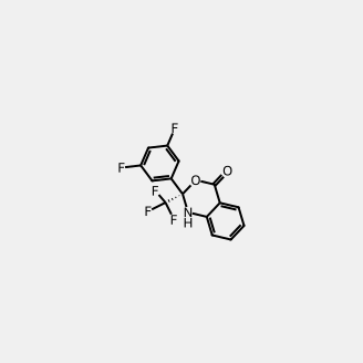 O=C1O[C@@](c2cc(F)cc(F)c2)(C(F)(F)F)Nc2ccccc21